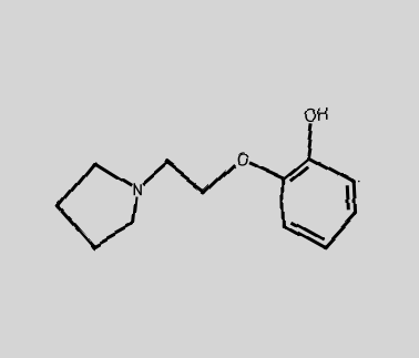 Oc1[c]cccc1OCCN1CCCC1